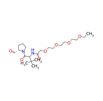 CCOCCOCCOCCOCC(=O)NC(C(=O)N1CCC[C@H]1C=O)C(C)(C)C